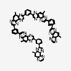 Cc1cc2nc(-c3cccc(-c4cnc5c(n4)c(C)cc4nc(-c6cccc(-c7cnc8c(n7)c(C)cc7ncc(-c9cccc(-c%10cnc%11c(n%10)c(C)cc%10nc(-c%12cccc(-c%13cnc%14c(n%13)c(C)cc%13nccnc%13%14)c%12)cnc%10%11)c9)nc78)c6)cnc45)c3)cnc2c2nccnc12